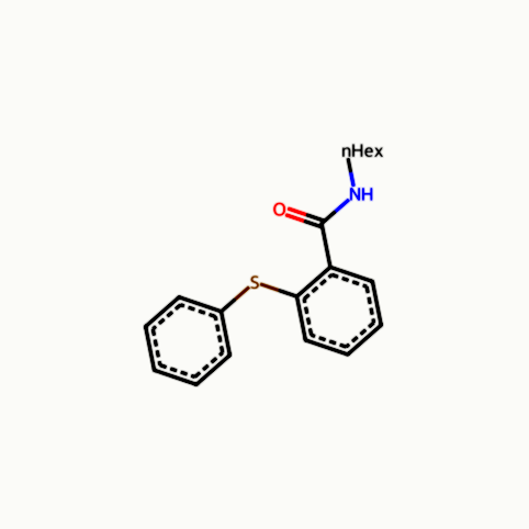 CCCCCCNC(=O)c1ccccc1Sc1ccccc1